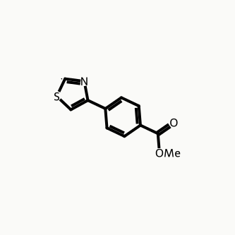 COC(=O)c1ccc(-c2cs[c]n2)cc1